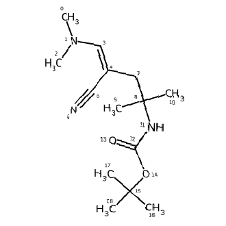 CN(C)/C=C(\C#N)CC(C)(C)NC(=O)OC(C)(C)C